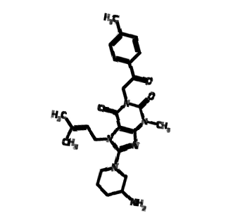 CC(C)=CCn1c(N2CCCC(N)C2)nc2c1c(=O)n(CC(=O)c1ccc(C)cc1)c(=O)n2C